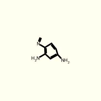 C=Nc1ccc(N)cc1N